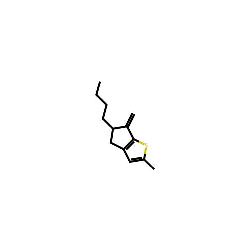 C=C1c2sc(C)cc2CC1CCCC